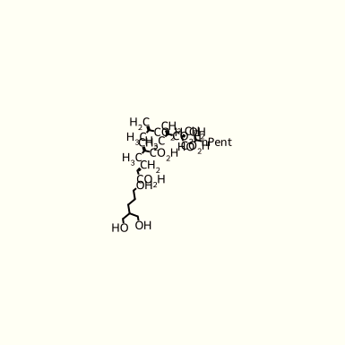 C=C(C)C(=O)O.C=C(C)C(=O)O.C=C(C)C(=O)O.C=CC(=O)O.C=CC(=O)O.CCCCCC(O)O.OCCCC(CO)CO